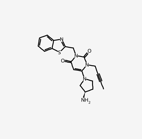 CC#CCn1c(N2CC[C@@H](N)C2)cc(=O)n(Cc2nc3ccccc3s2)c1=O